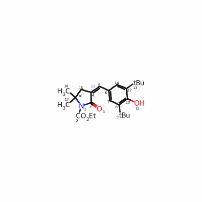 CCOC(=O)N1C(=O)/C(=C\c2cc(C(C)(C)C)c(O)c(C(C)(C)C)c2)CC1(C)C